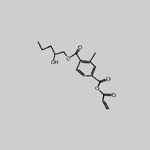 C=CC(=O)OC(=O)c1ccc(C(=O)OCC(O)CCC)c(C)c1